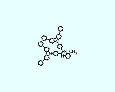 Cc1cccc2nc(-c3ccc(-n4c5ccc(-c6ccccc6)cc5c5cc(-c6ccccc6)ccc54)cc3)c(-c3ccc(-n4c5ccc(-c6ccccc6)cc5c5cc(-c6ccccc6)ccc54)cc3)nc12